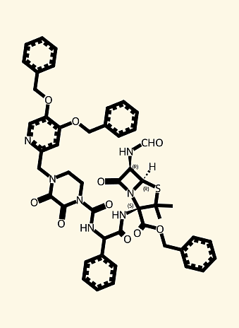 CC1(C)S[C@@H]2[C@H](NC=O)C(=O)N2[C@@]1(NC(=O)C(NC(=O)N1CCN(Cc2cc(OCc3ccccc3)c(OCc3ccccc3)cn2)C(=O)C1=O)c1ccccc1)C(=O)OCc1ccccc1